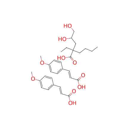 CCCCC(CC)(CC(O)CO)C(=O)O.COc1ccc(C=CC(=O)O)cc1.COc1ccc(C=CC(=O)O)cc1